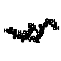 CCOc1cc(C(=O)OC)c(C2CC2CCOc2cc(C(=O)OC)c(C3CC3)cc2CN2CCC3(CC2)CC(=O)N(c2ccc(C(=O)N(C)CCCC(=O)O)cc2)C3)cc1CN1CCC2(CC1)CC(=O)N(c1ccc(C(=O)NCCN3CCNC3=O)cc1)C2